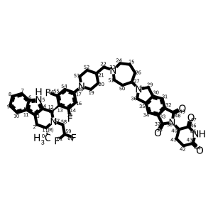 C[C@@H]1Cc2c([nH]c3ccccc23)[C@@H](c2c(F)cc(N3CCC(CN4CCCC(N5Cc6cc7c(cc6C5)C(=O)N(C5CCC(=O)NC5=O)C7=O)CC4)CC3)cc2F)N1CC(F)F